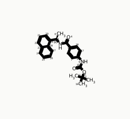 C[C@@H](NC(=O)c1ccc(NC(=O)OC(C)(C)C)cc1)c1cccc2ccccc12